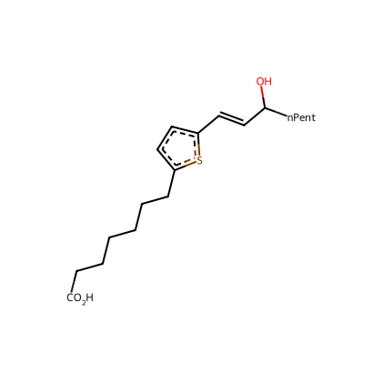 CCCCCC(O)C=Cc1ccc(CCCCCCC(=O)O)s1